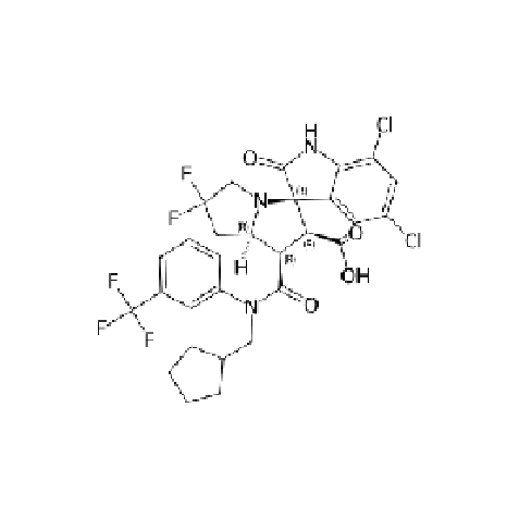 O=C(O)[C@H]1[C@@H](C(=O)N(CC2CCCC2)c2cccc(C(F)(F)F)c2)[C@H]2CC(F)(F)CN2[C@]12C(=O)Nc1c(Cl)cc(Cl)cc12